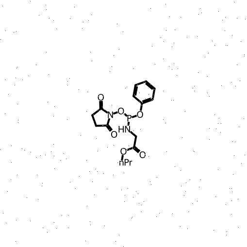 CCCOC(=O)CNP(Oc1ccccc1)ON1C(=O)CCC1=O